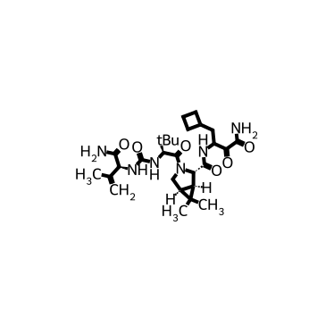 C=C(C)[C@H](NC(=O)N[C@H](C(=O)N1C[C@H]2[C@@H]([C@H]1C(=O)NC(CC1CCC1)C(=O)C(N)=O)C2(C)C)C(C)(C)C)C(N)=O